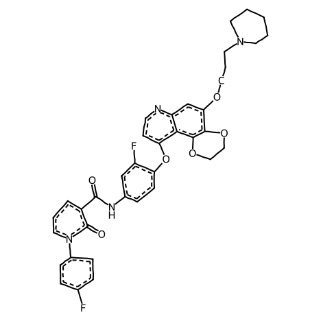 O=C(Nc1ccc(Oc2ccnc3cc(OCCCN4CCCCC4)c4c(c23)OCCO4)c(F)c1)c1cccn(-c2ccc(F)cc2)c1=O